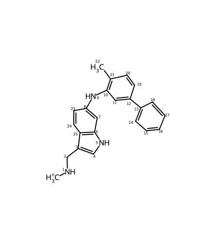 CNCc1c[nH]c2cc(Nc3cc(-c4ccccc4)ccc3C)ccc12